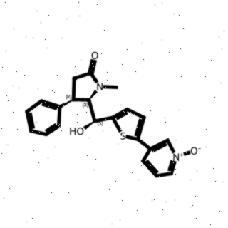 CN1C(=O)C[C@H](c2ccccc2)[C@@H]1[C@H](O)c1ccc(-c2ccc[n+]([O-])c2)s1